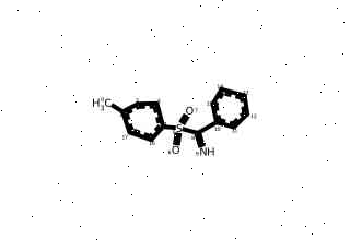 Cc1ccc(S(=O)(=O)C(=N)c2ccccc2)cc1